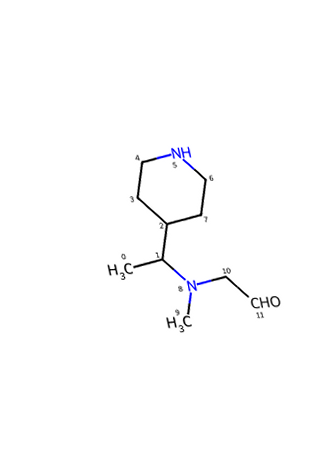 CC(C1CCNCC1)N(C)CC=O